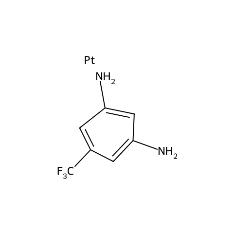 Nc1cc(N)cc(C(F)(F)F)c1.[Pt]